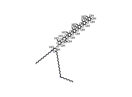 CCCCCCCC/C=C\CCCCCCCCCCCCCCCC(=O)N[C@@H](CO[C@@H]1OC(CO)[C@@H](O[C@@H]2OC(CO)[C@H](O[C@@H]3OC(CO)[C@H](O)[C@H](O[C@H]4OC(CO)[C@H](O)[C@H](O[C@H]5OC(CO)[C@H](O)[C@H](O[C@H]6OC(CO)[C@H](O)[C@H](O[C@H]7OC(CO)[C@H](O)[C@H](O)C7O)C6O)C5O)C4O)C3O)[C@H](O)C2O)[C@H](O)C1O)[C@H](O)/C=C/CCCCCCCCCCCCC